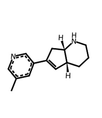 Cc1cncc(C2=C[C@H]3CCCN[C@H]3C2)c1